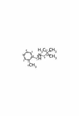 Cc1ccccc1CNCC(C)(C)C